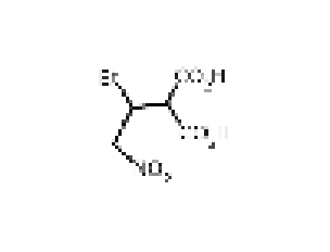 CCC(C[N+](=O)[O-])C(C(=O)O)C(=O)O